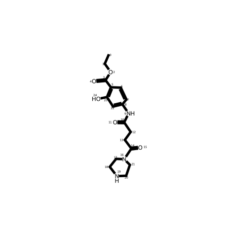 CCOC(=O)c1ccc(NC(=O)CCC(=O)N2CCNCC2)cc1O